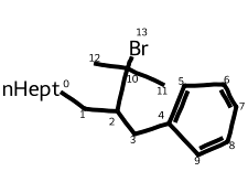 CCCCCCCCC(Cc1ccccc1)C(C)(C)Br